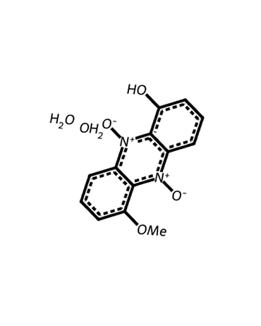 COc1cccc2c1[n+]([O-])c1cccc(O)c1[n+]2[O-].O.O